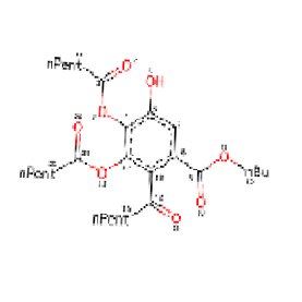 CCCCCC(=O)Oc1c(O)cc(C(=O)OCCCC)c(C(=O)CCCCC)c1OC(=O)CCCCC